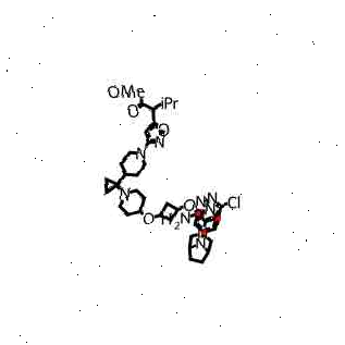 COC(=O)C(c1cc(N2CCC(C3(N4CCC(OC5CC(Oc6cc(N7C8CCC7CN(c7cc(Cl)nnc7N)C8)ccn6)C5)CC4)CC3)CC2)no1)C(C)C